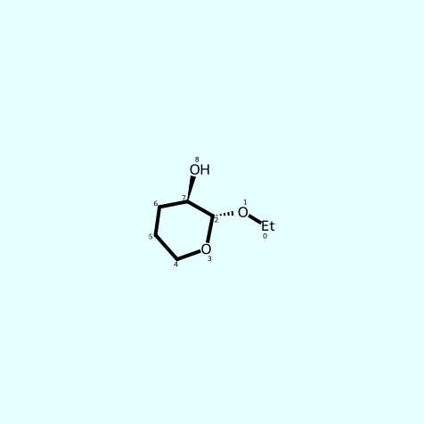 CCO[C@@H]1OCCC[C@H]1O